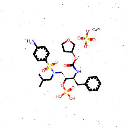 CC(C)CN(C[C@@H](OP(=O)(O)O)[C@H](Cc1ccccc1)NC(=O)O[C@H]1CCOC1)S(=O)(=O)c1ccc(N)cc1.O=S(=O)([O-])[O-].[Ca+2]